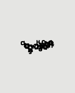 CCOc1cccc(F)c1CN1CCN(C(=O)[C@H](N)C2CCN(CCc3cc(Cl)ccc3-c3ccsc3)CC2)CC1